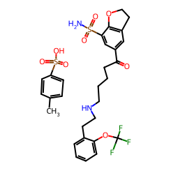 Cc1ccc(S(=O)(=O)O)cc1.NS(=O)(=O)c1cc(C(=O)CCCCNCCc2ccccc2OC(F)(F)F)cc2c1OCC2